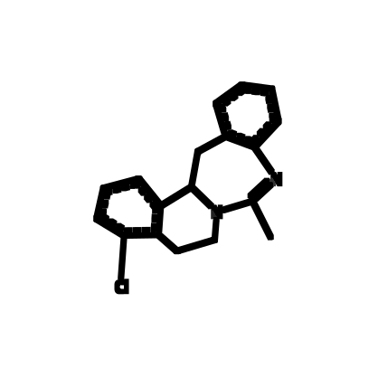 CC1=Nc2ccccc2CC2c3cccc(Cl)c3CCN12